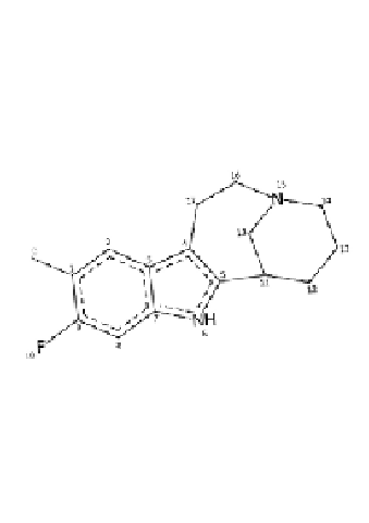 Cc1cc2c3c([nH]c2cc1F)C1CCCN(CC3)C1